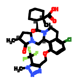 C[C@H]1CCN(C[C@@H]2c3c(OCc4nnn(C)c4C(F)(F)F)ccc(Cl)c3CCN2C(=O)[C@@H]2CCCC[C@]2(C)C(=O)O)C1=O